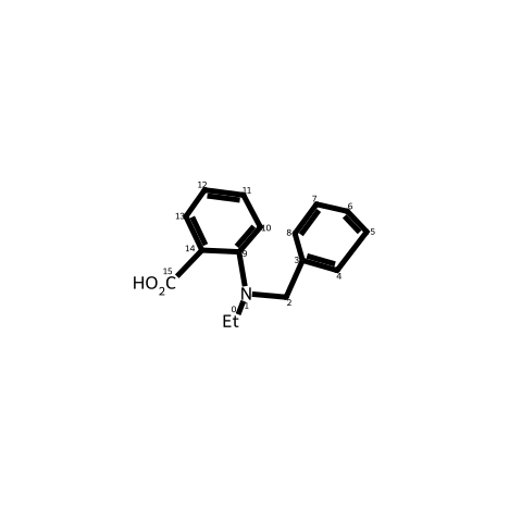 CCN(Cc1ccccc1)c1ccccc1C(=O)O